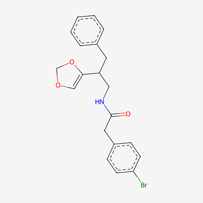 O=C(Cc1ccc(Br)cc1)NCC(Cc1ccccc1)C1=COCO1